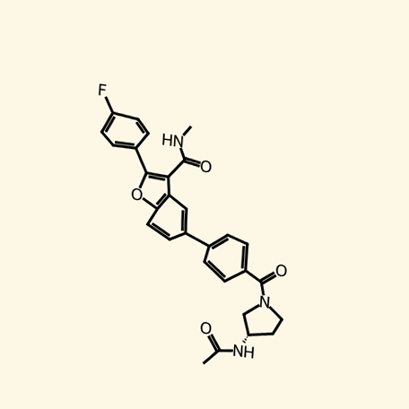 CNC(=O)c1c(-c2ccc(F)cc2)oc2ccc(-c3ccc(C(=O)N4CC[C@H](NC(C)=O)C4)cc3)cc12